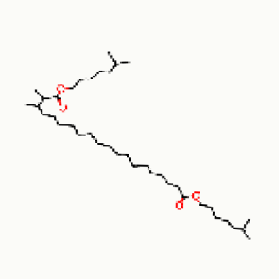 CC(C)CCCCCOC(=O)CCCCCCCCCCCCCCCCC(C)C(C)C(=O)OCCCCCC(C)C